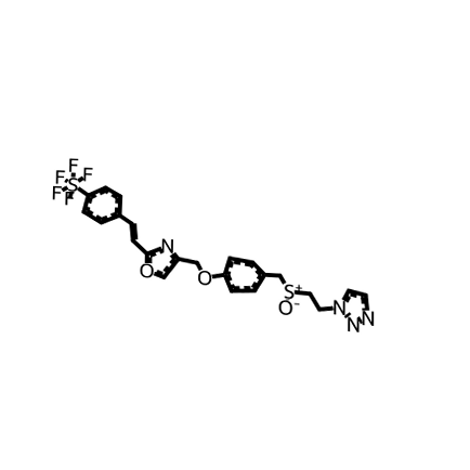 [O-][S+](CCn1ccnn1)Cc1ccc(OCc2coc(C=Cc3ccc(S(F)(F)(F)(F)F)cc3)n2)cc1